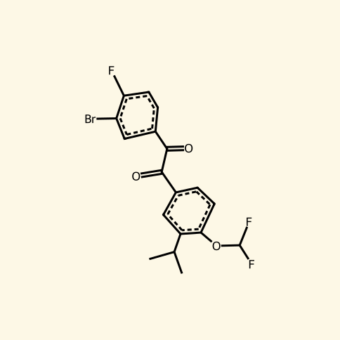 CC(C)c1cc(C(=O)C(=O)c2ccc(F)c(Br)c2)ccc1OC(F)F